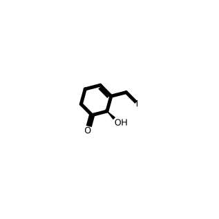 O=C1CCC=C(CI)[C@H]1O